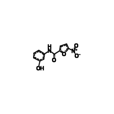 O=C(Nc1cccc(O)c1)c1ccc([N+](=O)[O-])o1